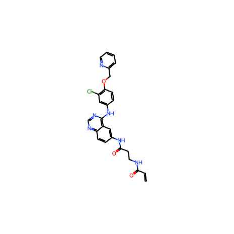 C=CC(=O)NCCC(=O)Nc1ccc2ncnc(Nc3ccc(OCc4ccccn4)c(Cl)c3)c2c1